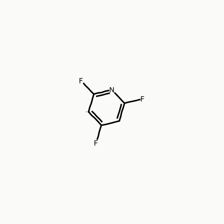 Fc1[c]c(F)nc(F)c1